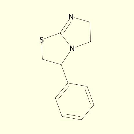 c1ccc(C2CSC3=NCCN32)cc1